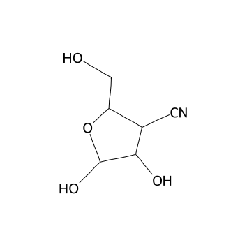 N#CC1C(CO)OC(O)C1O